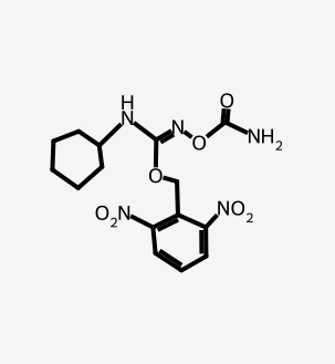 NC(=O)ON=C(NC1CCCCC1)OCc1c([N+](=O)[O-])cccc1[N+](=O)[O-]